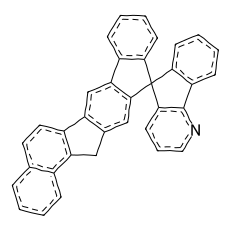 c1ccc2c(c1)-c1cc3c(cc1C21c2ccccc2-c2ncccc21)Cc1c-3ccc2ccccc12